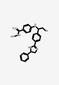 C=C(NCCC)c1ccc(NC(CC(C)C)c2ccc(C3=NCC(c4ccccc4)N3)cc2)cc1